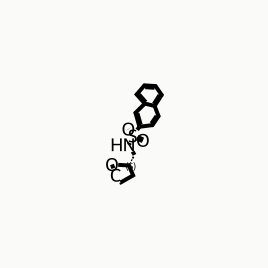 O=S(=O)(NC[C@@H]1CCCO1)c1ccc2ccccc2c1